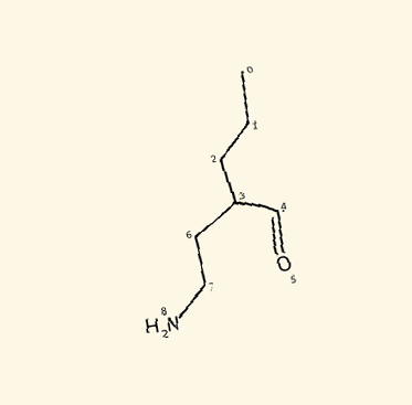 CCCC([C]=O)CCN